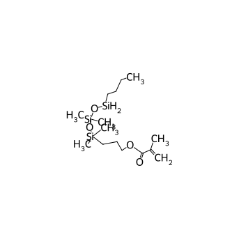 C=C(C)C(=O)OCCC[Si](C)(C)O[Si](C)(C)O[SiH2]CCCC